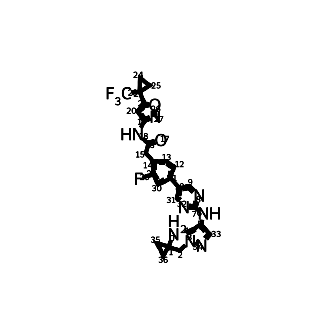 NC1(Cn2cc(Nc3ncc(-c4ccc(CC(=O)Nc5cc(C6(C(F)(F)F)CC6)on5)c(F)c4)cn3)cn2)CC1